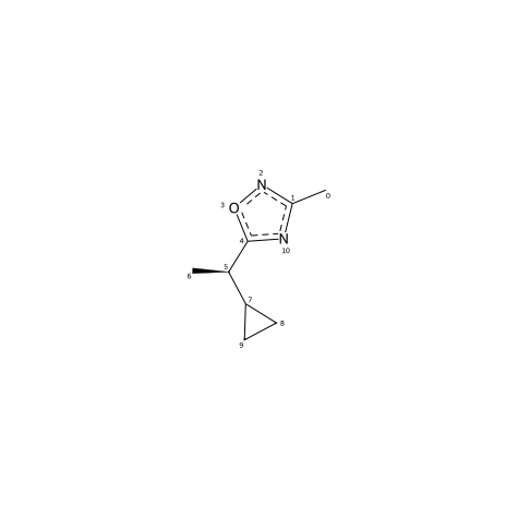 Cc1noc([C@H](C)C2CC2)n1